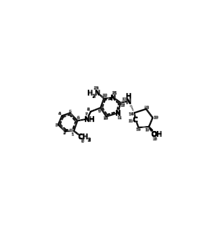 Cc1ccccc1NCc1cnc(N[C@H]2CC[C@H](O)CC2)nc1N